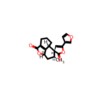 C[C@H]1C[C@H]2OC(=O)C3=C2[C@@H](CCC3)[C@@]12C=C(c1ccoc1)OC2=O